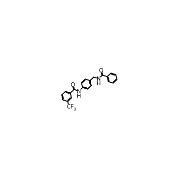 O=C(NCc1ccc(NC(=O)c2cccc(C(F)(F)F)c2)cc1)c1ccccc1